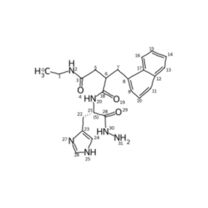 CCNC(=O)CC(Cc1cccc2ccccc12)C(=O)N[C@@H](Cc1c[nH]cn1)C(=O)NN